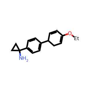 CCOC1=CCC(c2ccc(C3(N)CC3)cc2)C=[C]1